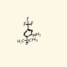 CP(C)(=O)c1ccc(C(F)(F)F)cc1N